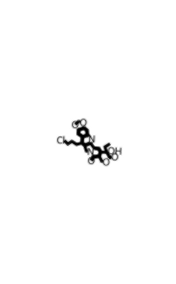 CCC1(O)C(=O)OCc2c1cc1n(c2=O)Cc2c-1nc1cc3c(cc1c2CCCCl)OCO3